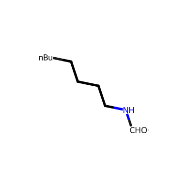 CCCCCCCCN[C]=O